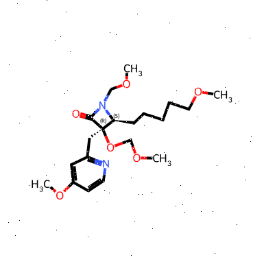 COCCCCC[C@@H]1N(COC)C(=O)[C@]1(Cc1cc(OC)ccn1)OCOC